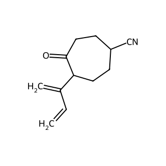 C=CC(=C)C1CCC(C#N)CCC1=O